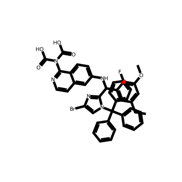 CCc1cc(OC)c(F)c(C(Nc2ccc3c(N(C(=O)O)C(=O)O)nccc3c2)c2nc(Br)cn2C(c2ccccc2)(c2ccccc2)c2ccccc2)c1